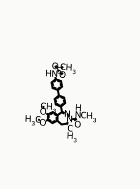 CNC(=O)N1N=C(c2ccc(-c3ccc(NS(C)(=O)=O)cc3)cc2)c2cc(OC)c(OC)cc2CC1C